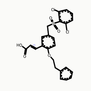 O=C(O)/C=C/c1cc(CS(=O)(=O)c2c(Cl)cccc2Cl)ccc1OCCc1ccccc1